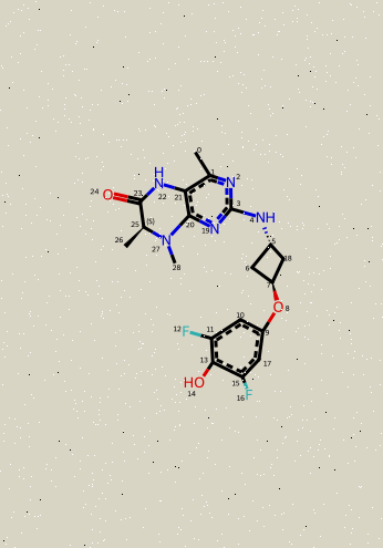 Cc1nc(N[C@H]2C[C@H](Oc3cc(F)c(O)c(F)c3)C2)nc2c1NC(=O)[C@H](C)N2C